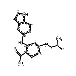 C[C@H](N)CNc1ncc(C(N)=O)c(Nc2ccc3[nH]ncc3c2)n1